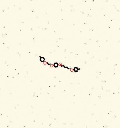 Cc1ccc(OCCCCCCOC2=CCC(OCCCOC3CCC(C)CC3)CC2)cc1